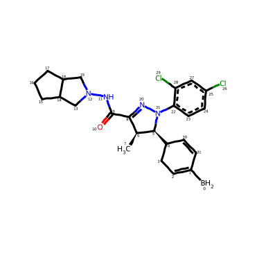 BC1=CCC([C@H]2[C@@H](C)C(C(=O)NN3CC4CCCC4C3)=NN2c2ccc(Cl)cc2Cl)C=C1